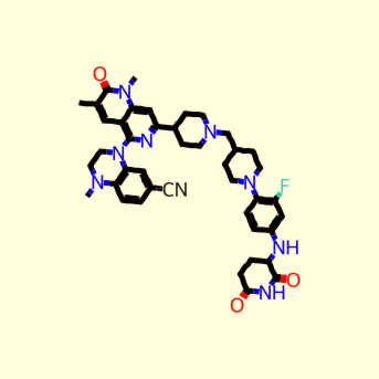 Cc1cc2c(N3CCN(C)c4ccc(C#N)cc43)nc(C3CCN(CC4CCN(c5ccc(NC6CCC(=O)NC6=O)cc5F)CC4)CC3)cc2n(C)c1=O